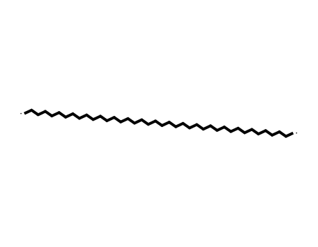 [CH2]CCCCCCCCCCCCCCCCCCCCCCCCCCCCCCCCCCCCCC[CH2]